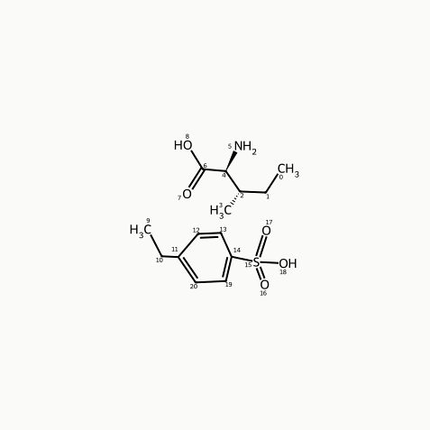 CC[C@H](C)[C@H](N)C(=O)O.CCc1ccc(S(=O)(=O)O)cc1